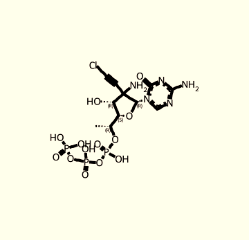 C[C@@H](OP(=O)(O)OP(=O)(O)OP(=O)(O)O)[C@H]1O[C@@H](n2cnc(N)nc2=O)C(N)(C#CCl)[C@H]1O